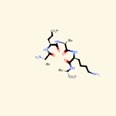 CC[C@H](C)[C@H](N)C(=O)N[C@@H](CCC(=O)O)C(=O)N[C@H](C(=O)N[C@@H](CCCCN)C(=O)N[C@H](C(=O)O)[C@@H](C)CC)[C@@H](C)CC